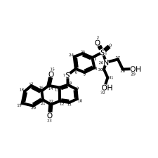 C=S(=O)(c1ccc(Sc2cccc3c2C(=O)c2ccccc2C3=O)cc1)N(CCO)CCO